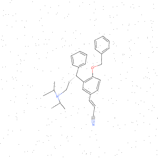 CC(C)N(CC[C@H](c1ccccc1)c1cc(/C=C/C#N)ccc1OCc1ccccc1)C(C)C